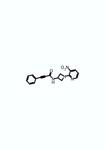 O=C(C#Cc1ccccc1)NC1CN(c2ncccc2[N+](=O)[O-])C1